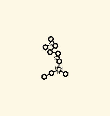 c1ccc(-c2ccc(-c3nc(-c4ccccc4)nc(-c4ccc5c(c4)sc4c(-c6ccccc6-c6cccc7c8ccccc8n(-c8ccccc8)c67)cccc45)n3)cc2)cc1